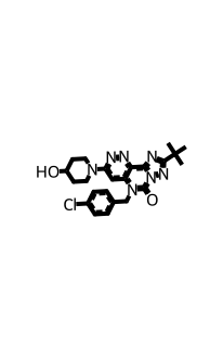 CC(C)(C)c1nc2c3nnc(N4CCC(O)CC4)cc3n(Cc3ccc(Cl)cc3)c(=O)n2n1